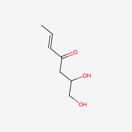 CC=CC(=O)CC(O)CO